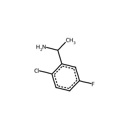 CC(N)c1cc(F)ccc1Cl